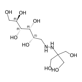 OC[C@@H](O)[C@@H](O)[C@H](O)[C@@H](O)CNNC(CO)(CO)CO